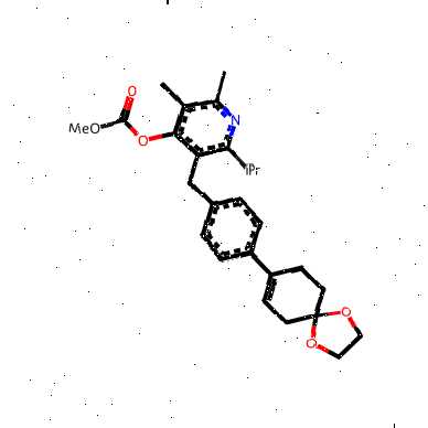 COC(=O)Oc1c(C)c(C)nc(C(C)C)c1Cc1ccc(C2=CCC3(CC2)OCCO3)cc1